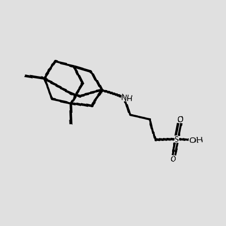 CC12CC3CC(C)(C1)CC(NCCCS(=O)(=O)O)(C3)C2